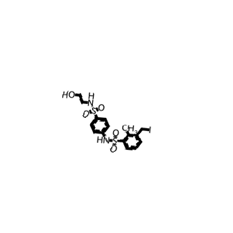 Cc1c(CI)cccc1S(=O)(=O)Nc1ccc(S(=O)(=O)NCCO)cc1